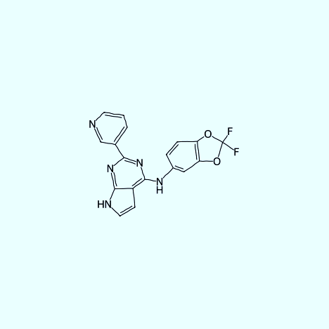 FC1(F)Oc2ccc(Nc3nc(-c4cccnc4)nc4[nH]ccc34)cc2O1